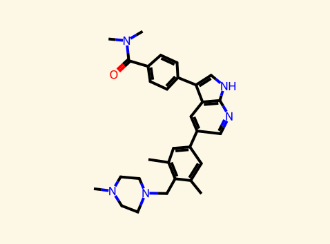 Cc1cc(-c2cnc3[nH]cc(-c4ccc(C(=O)N(C)C)cc4)c3c2)cc(C)c1CN1CCN(C)CC1